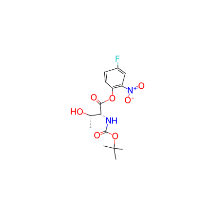 C[C@H](O)[C@@H](NC(=O)OC(C)(C)C)C(=O)Oc1ccc(F)cc1[N+](=O)[O-]